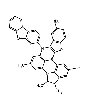 Cc1cc2c3c(c1)N1c4c(cc(C(C)C)cc4C(C)C1C)B3c1oc3ccc(C(C)(C)C)cc3c1N2c1ccc2c(c1)oc1ccccc12